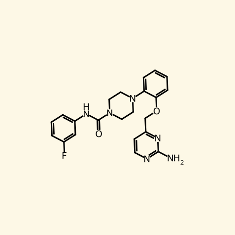 Nc1nccc(COc2ccccc2N2CCN(C(=O)Nc3cccc(F)c3)CC2)n1